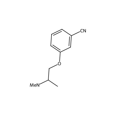 CNC(C)COc1cccc(C#N)c1